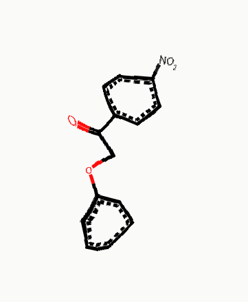 O=C(COc1ccccc1)c1ccc([N+](=O)[O-])cc1